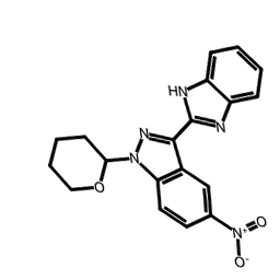 O=[N+]([O-])c1ccc2c(c1)c(-c1nc3ccccc3[nH]1)nn2C1CCCCO1